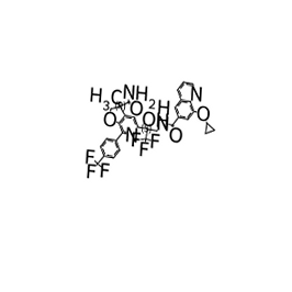 C[C@]1(C(N)=O)COc2c1cc([C@@](O)(CNC(=O)c1cc(OC3CC3)c3ncccc3c1)C(F)(F)F)nc2-c1ccc(C(F)(F)F)cc1